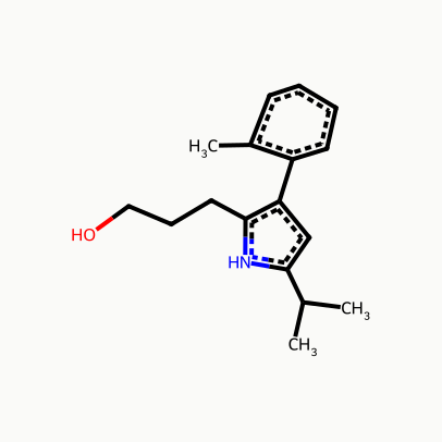 Cc1ccccc1-c1cc(C(C)C)[nH]c1CCCO